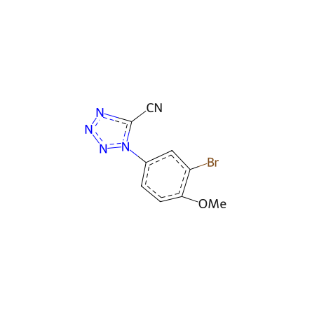 COc1ccc(-n2nnnc2C#N)cc1Br